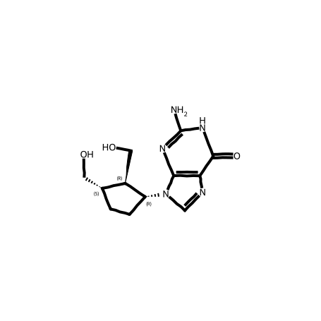 Nc1nc2c(ncn2[C@@H]2CC[C@H](CO)[C@H]2CO)c(=O)[nH]1